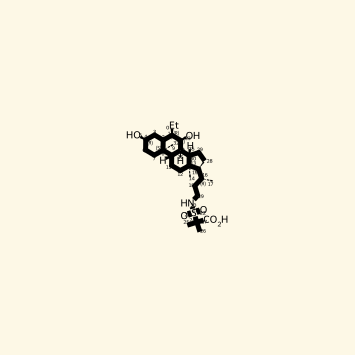 CC[C@@H]1C2C[C@H](O)CC[C@]2(C)[C@H]2CC[C@]3(C)[C@@H]([C@H](C)CCNS(=O)(=O)C(C)(C)C(=O)O)CC[C@H]3[C@@H]2[C@@H]1O